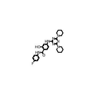 O=C(Nc1ccc(F)cc1)c1ccc(Nc2nc(N3CCCCC3)nc(N3CCCCC3)n2)cc1O